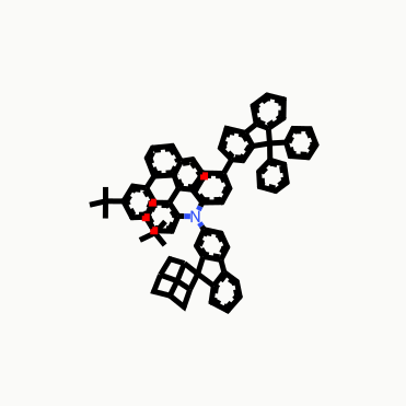 CC(C)(C)c1cc(-c2cccc3cccc(-c4ccccc4N(c4ccc(-c5ccc6c(c5)C(c5ccccc5)(c5ccccc5)c5ccccc5-6)cc4)c4ccc5c(c4)C4(c6ccccc6-5)C5CC6CC7CC4C675)c23)cc(C(C)(C)C)c1